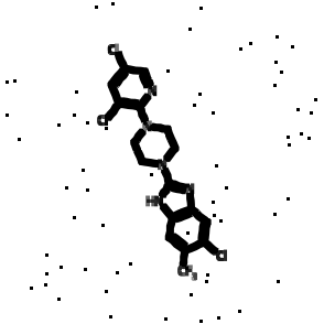 FC(F)(F)c1cc2[nH]c(N3CCN(c4ncc(Cl)cc4Cl)CC3)nc2cc1Cl